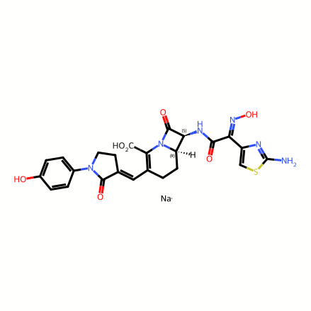 Nc1nc(C(=NO)C(=O)N[C@@H]2C(=O)N3C(C(=O)O)=C(C=C4CCN(c5ccc(O)cc5)C4=O)CC[C@H]23)cs1.[Na]